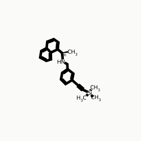 C[C@@H](NCc1cccc(C#C[Si](C)(C)C)c1)c1cccc2ccccc12